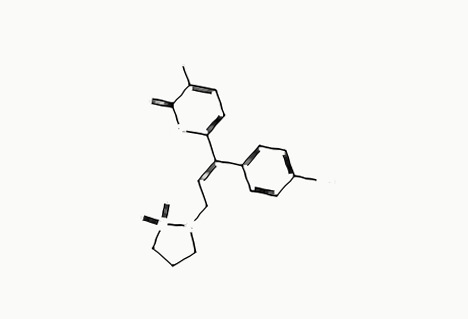 CC(C)(C)c1ccc(/C(=C\CN2CCCS2(=O)=O)c2ccc(Cl)c(=O)[nH]2)cc1